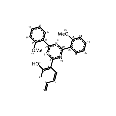 C=C/C=C\C(=C(/C)O)c1nc(-c2ccccc2OC)nc(-c2ccccc2OC)n1